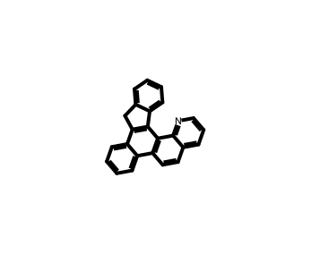 c1ccc2c(c1)Cc1c-2c2c(ccc3cccnc32)c2ccccc12